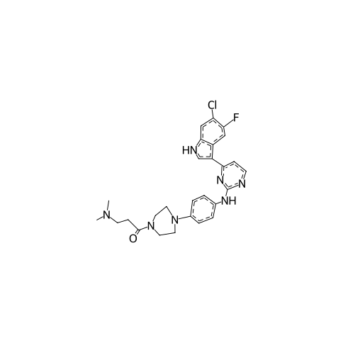 CN(C)CCC(=O)N1CCN(c2ccc(Nc3nccc(-c4c[nH]c5cc(Cl)c(F)cc45)n3)cc2)CC1